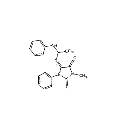 CN1C(=O)/C(=N\C(Nc2ccccc2)C(Cl)(Cl)Cl)N(c2ccccc2)C1=O